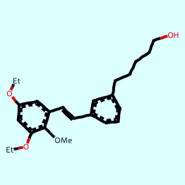 CCOc1cc(C=Cc2cccc(CCCCCO)c2)c(OC)c(OCC)c1